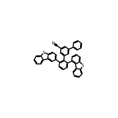 N#Cc1cc(-c2ccccc2)cc(-c2c(-c3ccc4sc5ccccc5c4c3)cccc2-c2cccc3sc4ccccc4c23)c1